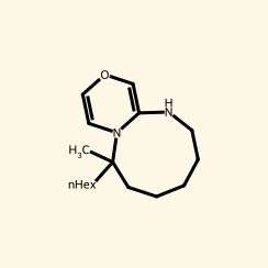 CCCCCCC1(C)CCCCCNC2=COC=CN21